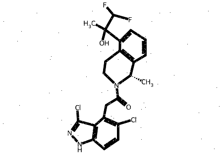 C[C@H]1c2cccc(C(C)(O)C(F)F)c2CCN1C(=O)Cc1c(Cl)ccc2[nH]nc(Cl)c12